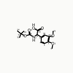 COc1ccc(C(NC(=O)OC(C)(C)C)C(=O)O)cc1OC